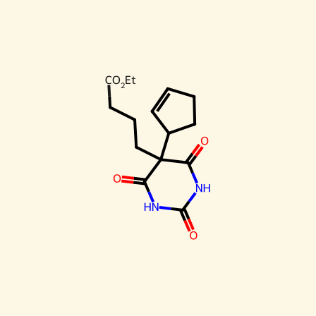 CCOC(=O)CCCC1(C2C=CCC2)C(=O)NC(=O)NC1=O